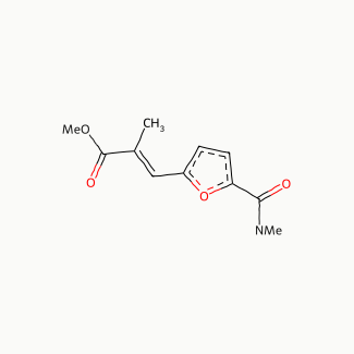 CNC(=O)c1ccc(/C=C(\C)C(=O)OC)o1